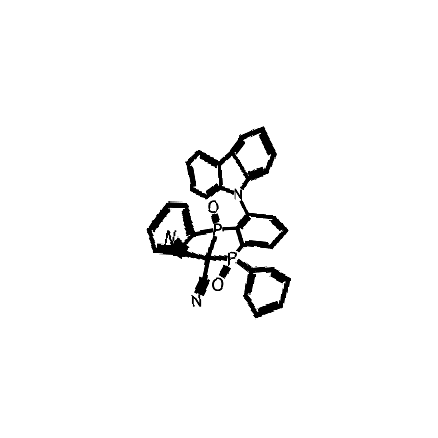 N#CC1(C#N)P(=O)(c2ccccc2)c2cccc(-n3c4ccccc4c4ccccc43)c2P1(=O)c1ccccc1